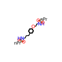 CCCS(=O)(=O)NCCCc1ccc(OCCNS(=O)(=O)CCC)cc1